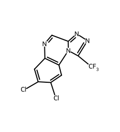 FC(F)(F)c1nnc2cnc3cc(Cl)c(Cl)cc3n12